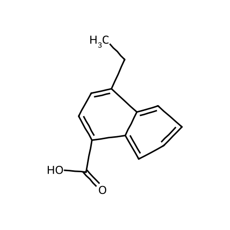 CCc1ccc(C(=O)O)c2ccccc12